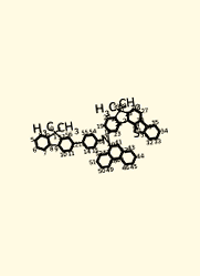 CC1(C)c2ccccc2-c2ccc(-c3ccc(N(c4ccc5c(c4)-c4c(ccc6c4sc4ccccc46)C5(C)C)c4cc5ccccc5c5ccccc45)cc3)cc21